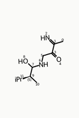 CC(=N)C(=O)CNC(O)[C@@H](C)C(C)C